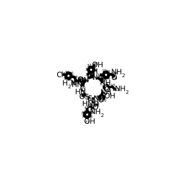 CC(O)C1NC(=O)[C@H](CCCCN)NC(=O)[C@@H](Cc2ccc(C(N)=O)cc2)NC(=O)[C@H](Cc2ccc(O)cc2)NC(=O)[C@H](NC(=O)[C@@H](N)Cc2ccc(Cl)cc2)CNC(=O)SC[C@@H](C(=O)N[C@H](Cc2ccc(O)cc2)C(N)=O)NC1=O